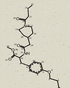 CCCCOc1ccc(CC(NC(=O)CC2CCN(C(=O)CCC)CC2)C(=O)OC)cc1